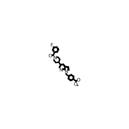 COC(=O)c1ccc(Cn2ccc3cc(C4CCN(C(=O)c5cccc(F)c5)CC4)cnc32)cc1